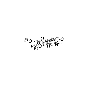 CCNC(=O)N(CCCOCC)C(=O)[C@H]1CC[C@H]2[C@@H]3CC[C@H]4NC(=O)CC[C@]4(C)[C@H]3CC[C@]12C